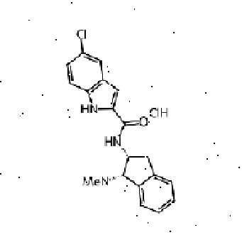 CN[C@H]1c2ccccc2C[C@H]1NC(=O)c1cc2cc(Cl)ccc2[nH]1.Cl